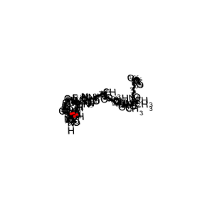 CC(C)[C@H](NC(=O)CCCCCN1C(=O)C=CC1=O)C(=O)N[C@@H](C)C(=O)Nc1ccc(COC(=O)N(C)CCCC(=O)Nc2ncnc3c2ncn3[C@@H]2O[C@@H]3CO[P@@](=O)(S)O[C@]4(n5cc(F)c6c(=O)[nH]cnc65)COC(CO[PH](=O)O[C@H]3[C@H]2F)[C@H]4O)cc1